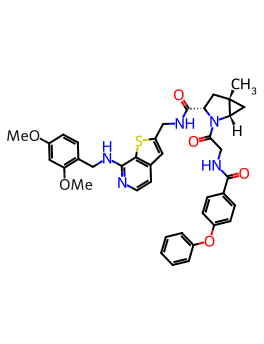 COc1ccc(CNc2nccc3cc(CNC(=O)[C@@H]4C[C@]5(C)C[C@@H]5N4C(=O)CNC(=O)c4ccc(Oc5ccccc5)cc4)sc23)c(OC)c1